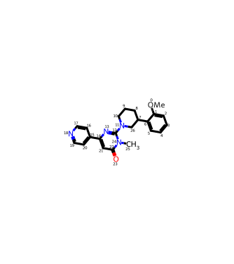 COc1ccccc1C1CCCN(c2nc(-c3ccncc3)cc(=O)n2C)C1